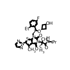 CCc1ccc(F)cc1[C@H](Cn1c(=O)n(C(C)(C)C(=O)NC(C)C)c(=O)c2c(C)c(-n3nccn3)sc21)O[C@H]1C[C@@H](O)C1